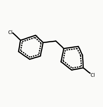 Clc1[c]c(Cc2ccc(Cl)cc2)ccc1